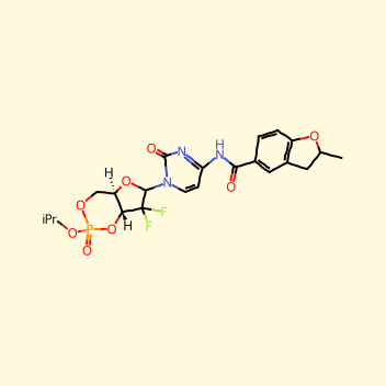 CC(C)OP1(=O)OC[C@H]2OC(n3ccc(NC(=O)c4ccc5c(c4)CC(C)O5)nc3=O)C(F)(F)[C@@H]2O1